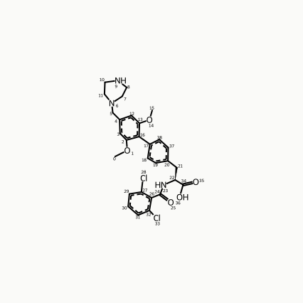 COc1cc(CN2CCNCC2)cc(OC)c1-c1ccc(C[C@H](NC(=O)c2c(Cl)cccc2Cl)C(=O)O)cc1